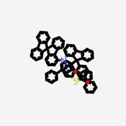 c1ccc(-c2ccc(C3(c4ccc(-c5ccccc5)cc4)c4ccccc4-c4cccc(N(c5ccc6sc7ccccc7c6c5)c5cccc6c5-c5ccccc5C65c6ccccc6-c6ccccc65)c43)cc2)cc1